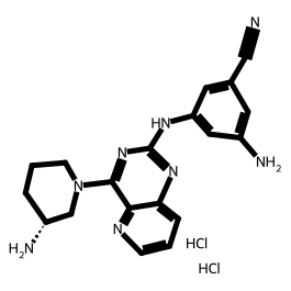 Cl.Cl.N#Cc1cc(N)cc(Nc2nc(N3CCC[C@@H](N)C3)c3ncccc3n2)c1